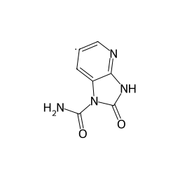 NC(=O)n1c(=O)[nH]c2nc[c]cc21